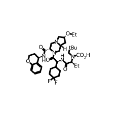 CCO[C@@H]1C[C@@H]2CN(C(=O)[C@@H](NC(=O)[C@H](CC)N(CC(C)(C)C)C(=O)O)C3CCC(F)(F)CC3)[C@H](C(=O)N[C@@H]3CCOc4ccccc43)CN2C1